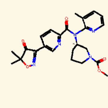 Cc1cccnc1N(C(=O)c1ccc(C2=NOC(C)(C)C2=O)cn1)[C@@H]1CCCN(C(=O)OC(C)(C)C)C1